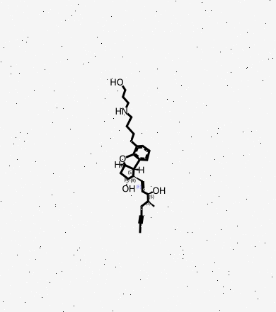 CC#CC[C@H](C)[C@H](O)/C=C/[C@@H]1[C@H]2c3cccc(CCCCNCCCO)c3O[C@H]2C[C@H]1O